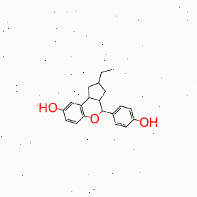 CCC1CC2c3cc(O)ccc3OC(c3ccc(O)cc3)C2C1